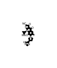 COc1c(N2CCC(c3ncn[nH]3)C2)c(F)cc2c(=O)c3c(n(C4CC4)c12)SC(C#N)C3=O